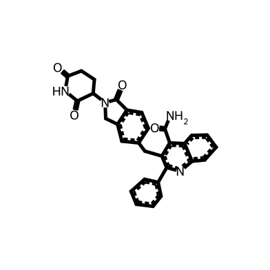 NC(=O)c1c(Cc2ccc3c(c2)CN(C2CCC(=O)NC2=O)C3=O)c(-c2ccccc2)nc2ccccc12